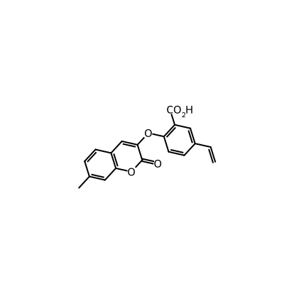 C=Cc1ccc(Oc2cc3ccc(C)cc3oc2=O)c(C(=O)O)c1